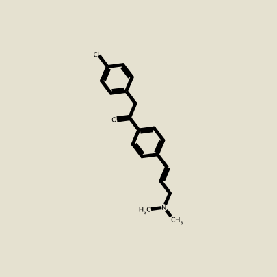 CN(C)C/C=C/c1ccc(C(=O)Cc2ccc(Cl)cc2)cc1